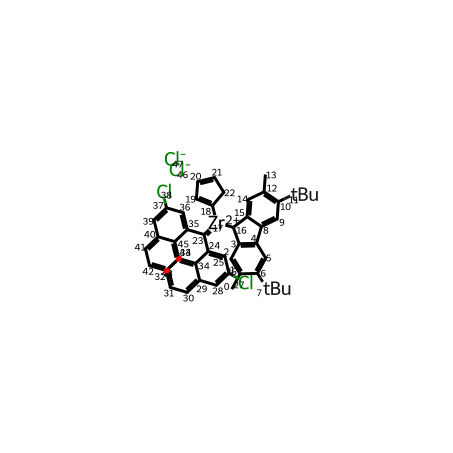 Cc1cc2c(cc1C(C)(C)C)-c1cc(C(C)(C)C)c(C)cc1[CH]2[Zr+2]([C]1=CC=CC1)=[C](c1cc(Cl)cc2ccccc12)c1cc(Cl)cc2ccccc12.[Cl-].[Cl-]